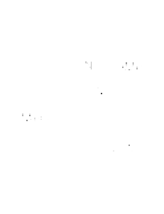 COc1ccc2nc(OC)n(CCCNC(C)=O)c2c1